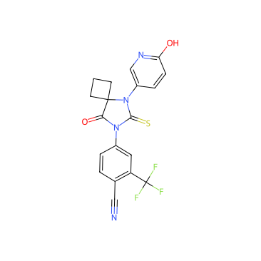 N#Cc1ccc(N2C(=O)C3(CCC3)N(c3ccc(O)nc3)C2=S)cc1C(F)(F)F